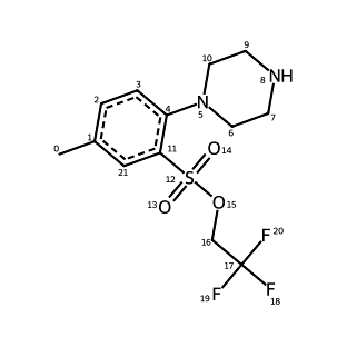 Cc1ccc(N2CCNCC2)c(S(=O)(=O)OCC(F)(F)F)c1